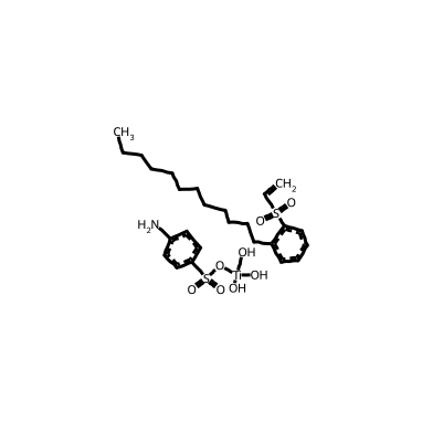 C=CS(=O)(=O)c1ccccc1CCCCCCCCCCCC.Nc1ccc(S(=O)(=O)[O][Ti]([OH])([OH])[OH])cc1